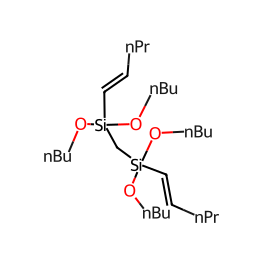 CCCC=C[Si](C[Si](C=CCCC)(OCCCC)OCCCC)(OCCCC)OCCCC